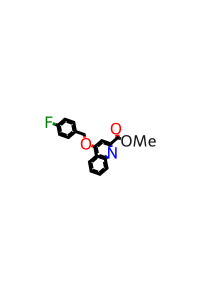 COC(=O)c1cc(OCc2ccc(F)cc2)c2ccccc2n1